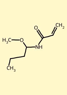 C=CC(=O)NC(CCC)OC